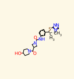 C[C@H](Sc1nncn1C)c1cccc(NC(=O)N2CC(C(=O)N3CCC(O)CC3)C2)c1